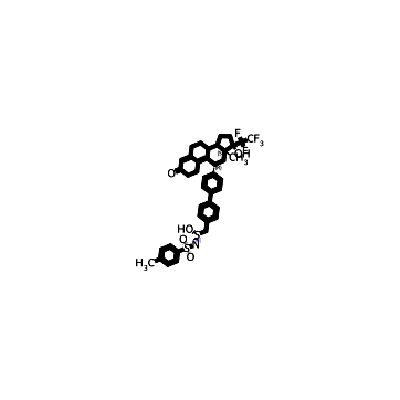 Cc1ccc(S(=O)(=O)/N=S(\O)Cc2ccc(-c3ccc([C@H]4C[C@@]5(C)C(CC[C@]5(O)C(F)(F)C(F)(F)F)C5CCC6=CC(=O)CCC6=C54)cc3)cc2)cc1